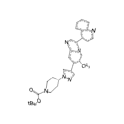 Cc1cn2c(-c3ccnc4ccccc34)cnc2cc1-c1cnn(C2CCN(C(=O)OC(C)(C)C)CC2)c1